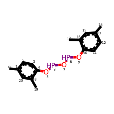 Cc1ccc(OPOPOc2ccc(C)cc2C)c(C)c1